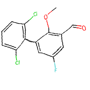 COc1c(C=O)cc(F)cc1-c1c(Cl)cccc1Cl